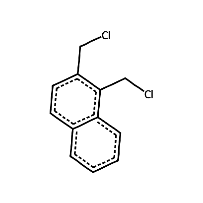 ClCc1ccc2ccccc2c1CCl